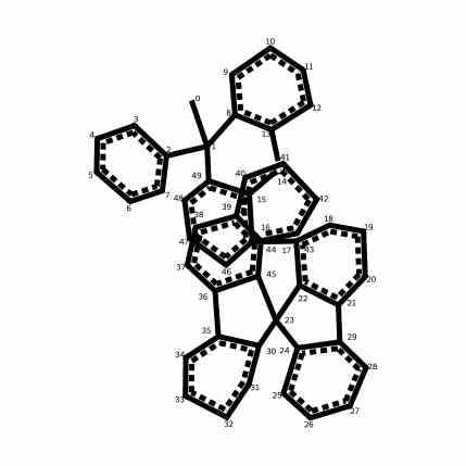 CC1(c2ccccc2)c2ccccc2Oc2c(-c3cccc4c3C3(c5ccccc5-4)c4ccccc4-c4ccc5ccccc5c43)cccc21